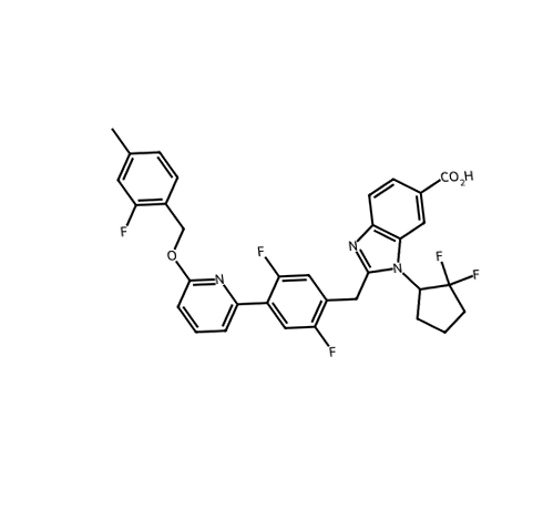 Cc1ccc(COc2cccc(-c3cc(F)c(Cc4nc5ccc(C(=O)O)cc5n4C4CCCC4(F)F)cc3F)n2)c(F)c1